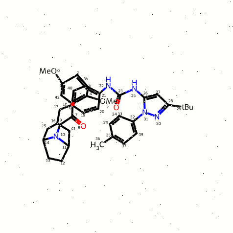 COc1ccc(OC)c(C(=O)CN2C3CCC2CC(Cc2ccc(NC(=O)Nc4cc(C(C)(C)C)nn4-c4ccc(C)cc4)cc2)C3)c1